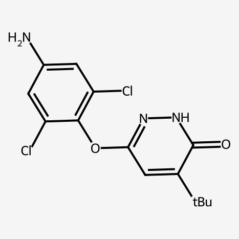 CC(C)(C)c1cc(Oc2c(Cl)cc(N)cc2Cl)n[nH]c1=O